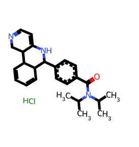 CC(C)N(C(=O)c1ccc(C2NC3=CC=NCC3C3C=CC=CC23)cc1)C(C)C.Cl